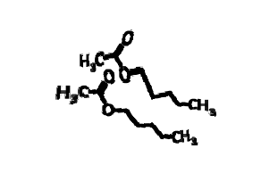 CCCCCOC(C)=O.CCCCCOC(C)=O